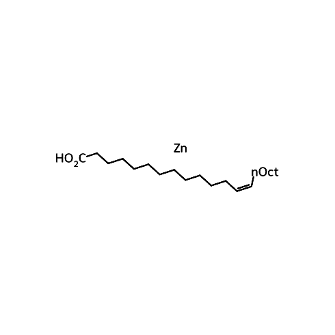 CCCCCCCC/C=C\CCCCCCCCCCCC(=O)O.[Zn]